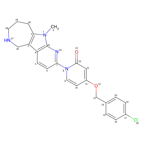 Cn1c2c(c3ccc(-n4ccc(OCc5ccc(Cl)cc5)cc4=O)nc31)CNCCC2